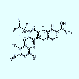 C[C@H](O)c1ccc(Cn2cnc(C(F)(F)C(F)F)c(Oc3cc(Cl)cc(C#N)c3F)c2=O)c(=O)[nH]1